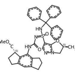 COC[C@H]1CCc2cc3c(c(NC(=O)N=S(=O)(NC(c4ccccc4)(c4ccccc4)c4ccccc4)c4cnn5c4O[C@@H](C)C5)c21)CCC3